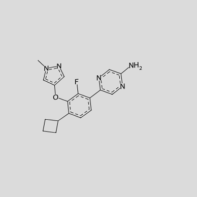 Cn1cc(Oc2c(C3CCC3)ccc(-c3cnc(N)cn3)c2F)cn1